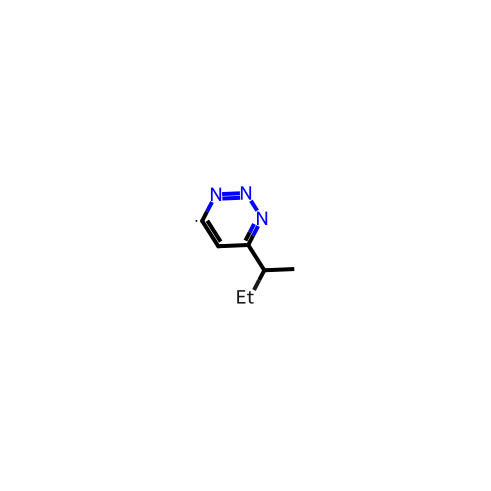 CCC(C)c1c[c]nnn1